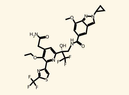 CCOc1c(CC(N)=O)cc([C@@](O)(CNC(=O)c2cc(OC)c3nn(C4CC4)cc3c2)C(F)(F)F)nc1-c1csc(C(F)(F)F)n1